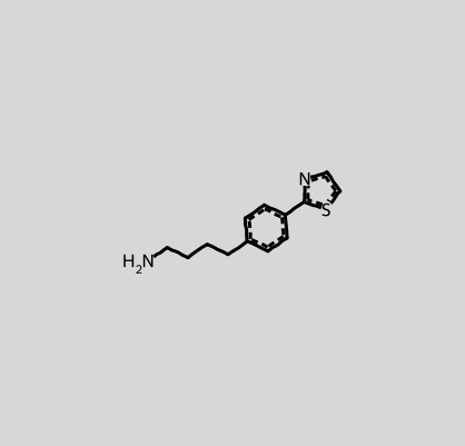 NCCCCc1ccc(-c2nccs2)cc1